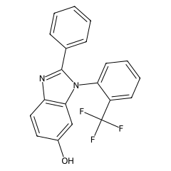 Oc1ccc2nc(-c3ccccc3)n(-c3ccccc3C(F)(F)F)c2c1